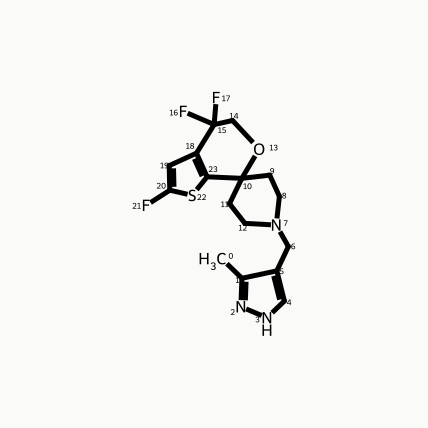 Cc1n[nH]cc1CN1CCC2(CC1)OCC(F)(F)c1cc(F)sc12